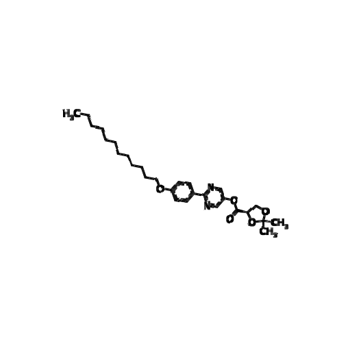 CCCCCCCCCCCCOc1ccc(-c2ncc(OC(=O)[C@H]3COC(C)(C)O3)cn2)cc1